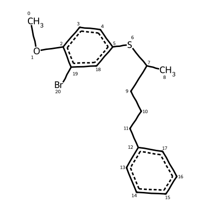 COc1ccc(SC(C)CCCc2ccccc2)cc1Br